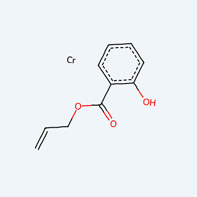 C=CCOC(=O)c1ccccc1O.[Cr]